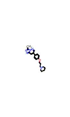 Cc1nnc2cc(-c3ccc(OCCCN4CCCCC4)cc3)cnn12